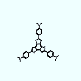 CN(C)c1ccc(-c2cc3c(s2)c2c(c4cc(-c5ccc(N(C)C)cc5)sc43)SC(c3ccc(N(C)C)cc3)C2)cc1